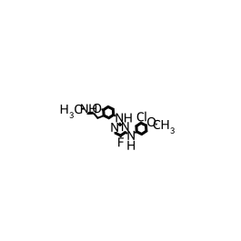 CNC=C1Cc2cc(Nc3ncc(F)c(Nc4ccc(OC)c(Cl)c4)n3)ccc2O1